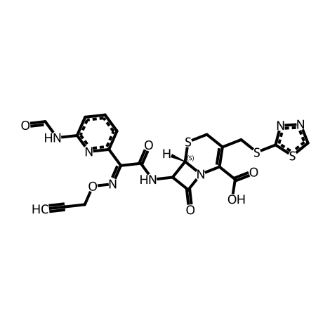 C#CCON=C(C(=O)NC1C(=O)N2C(C(=O)O)=C(CSc3nncs3)CS[C@@H]12)c1cccc(NC=O)n1